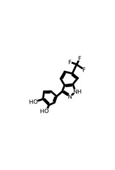 Oc1ccc(-c2n[nH]c3cc(C(F)(F)F)ccc23)cc1O